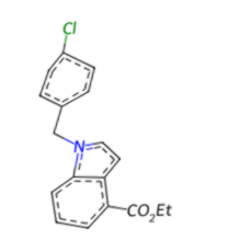 CCOC(=O)c1cccc2c1ccn2Cc1ccc(Cl)cc1